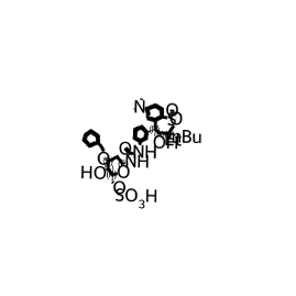 CCCC[C@]1(CC)CS(=O)(=O)c2ccc(N(C)C)cc2[C@@H](c2cccc(NC(=O)N[C@H]3C[C@@H](OCc4ccccc4)[C@H](O)[C@@H](COS(=O)(=O)O)O3)c2)[C@H]1O